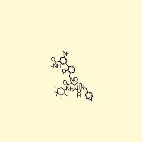 CNC(=O)c1cc(-c2cccc(CN3O[C@@H](CNCc4ccncc4)[C@@H]([C@H](C)O)[C@H]3C(=O)N[C@H]3C[C@@H](C)C(C)(C)[C@@H](C)[C@@H]3C)c2OC)cc(N(C)C)c1